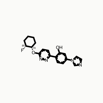 Oc1cc(-n2ccnc2)ccc1-c1ccc(O[C@H]2CCCC[C@H]2F)nn1